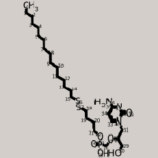 CCCCCCCCCCCCCCCCSSCCCCOP(=O)(O)COC(CO)Cn1ccc(N)nc1=O